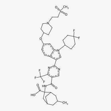 CC1CC2CC(C1)C(NC(=O)c1cnc(-c3cn(C4CCC(F)(F)CC4)c4cc(OC5CCN(CCS(C)(=O)=O)CC5)ccc34)nc1C(F)(F)F)(C(=O)O)C2